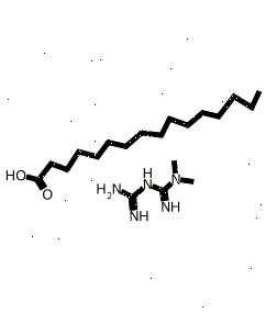 CCCCCCCCCCCCCCCC(=O)O.CN(C)C(=N)NC(=N)N